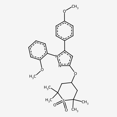 COc1ccc(-c2cc(OC3CC(C)(C)S(=O)(=O)C(C)(C)C3)nn2-c2ccccc2OC)cc1